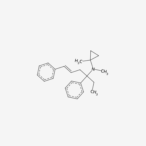 CCC(CC=Cc1ccccc1)(c1ccccc1)N(C)C1(C)CC1